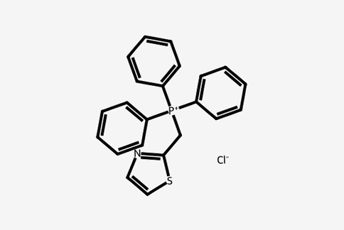 [Cl-].c1ccc([P+](Cc2nccs2)(c2ccccc2)c2ccccc2)cc1